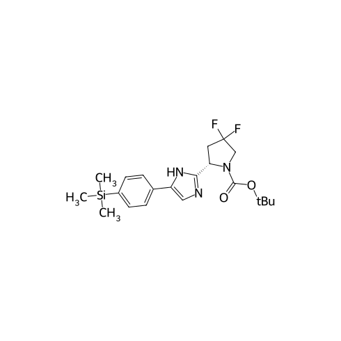 CC(C)(C)OC(=O)N1CC(F)(F)C[C@H]1c1ncc(-c2ccc([Si](C)(C)C)cc2)[nH]1